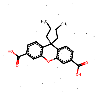 CCCC1(CCC)c2ccc(C(=O)O)cc2Oc2cc(C(=O)O)ccc21